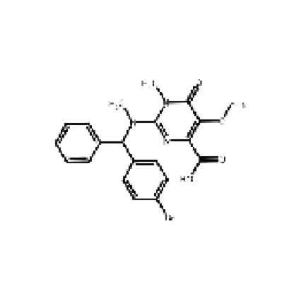 COc1c(C(=O)O)nc(N(C)C(c2ccccc2)c2ccc(Br)cc2)n(C)c1=O